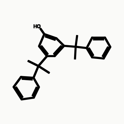 CC(C)(c1ccccc1)c1cc(O)cc(C(C)(C)c2ccccc2)c1